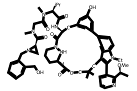 CCn1c(-c2cccnc2[C@H](C)OC)c2c3cc(ccc31)-c1cc(O)cc(c1)C[C@H](NC(=O)[C@H](C(C)C)N(C)C(=O)CN(C)C(=O)[C@H]1CN1Cc1ccccc1CO)C(=O)N1CCC[C@H](N1)C(=O)OCC(C)(C)C2